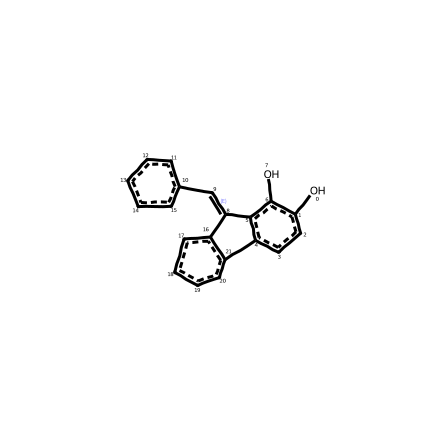 Oc1ccc2c(c1O)/C(=C/c1ccccc1)c1ccccc1-2